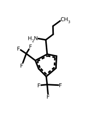 CCCC(N)c1ccc(C(F)(F)F)cc1C(F)(F)F